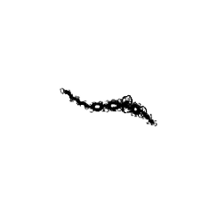 CCCCCCCC1CCC(C2CCC(C(=O)Oc3ccc(OCCCC)cc3)CC2)CC1